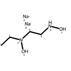 CCN(O)CCNO.[Na].[Na]